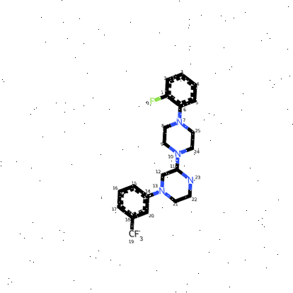 Fc1ccccc1N1CCN(C2CN(c3cccc(C(F)(F)F)c3)CC[N]2)CC1